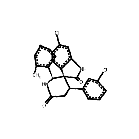 Cc1ccccc1[C@@H]1NC(=O)C[C@H](c2cccc(Cl)c2)[C@@]12C(=O)Nc1cc(Cl)ccc12